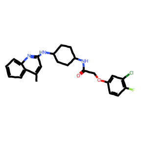 Cc1cc(NC2CCC(NC(=O)COc3ccc(F)c(Cl)c3)CC2)nc2ccccc12